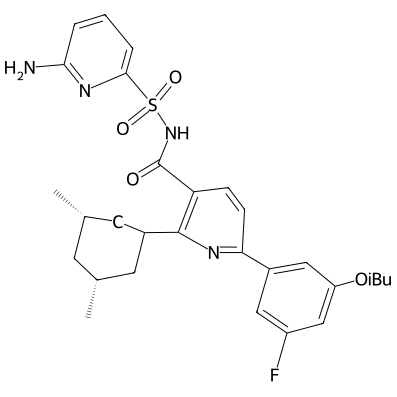 CC(C)COc1cc(F)cc(-c2ccc(C(=O)NS(=O)(=O)c3cccc(N)n3)c(C3C[C@@H](C)C[C@@H](C)C3)n2)c1